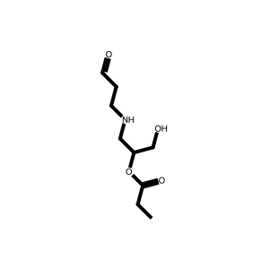 CCC(=O)OC(CO)CNCCC=O